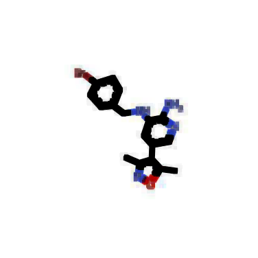 Cc1noc(C)c1-c1cnc(N)c(NCc2ccc(Br)cc2)c1